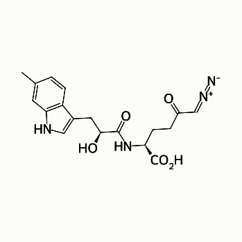 Cc1ccc2c(C[C@H](O)C(=O)N[C@@H](CCC(=O)C=[N+]=[N-])C(=O)O)c[nH]c2c1